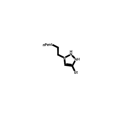 CCCCCCCN1C=C(CC)NN1